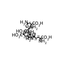 CC(C)C(N)C(=O)O.NC(=O)CC(N)C(=O)O.NC(=O)CCC(N)C(=O)O.NC(Cc1c[nH]cn1)C(=O)O